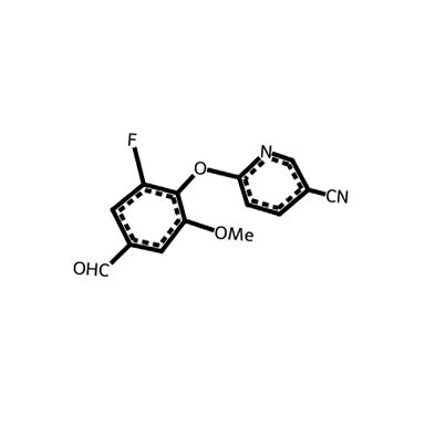 COc1cc(C=O)cc(F)c1Oc1ccc(C#N)cn1